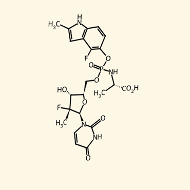 Cc1cc2c(F)c(OP(=O)(N[C@@H](C)C(=O)O)OC[C@H]3O[C@@H](n4ccc(=O)[nH]c4=O)[C@](C)(F)[C@@H]3O)ccc2[nH]1